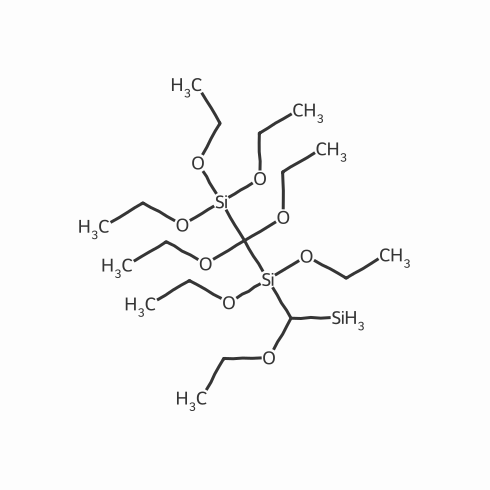 CCOC([SiH3])[Si](OCC)(OCC)C(OCC)(OCC)[Si](OCC)(OCC)OCC